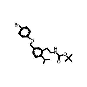 CC(C)c1ccc(COc2ccc(Br)cc2)cc1CCNC(=O)OC(C)(C)C